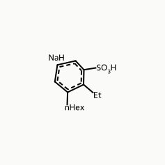 CCCCCCc1cccc(S(=O)(=O)O)c1CC.[NaH]